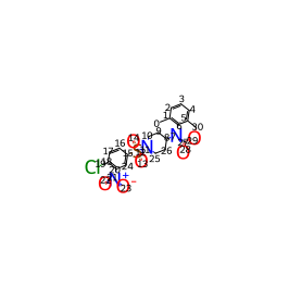 Cc1cccc2c1N(C1CCN(S(=O)(=O)c3ccc(Cl)c([N+](=O)[O-])c3)CC1)C(=O)OC2